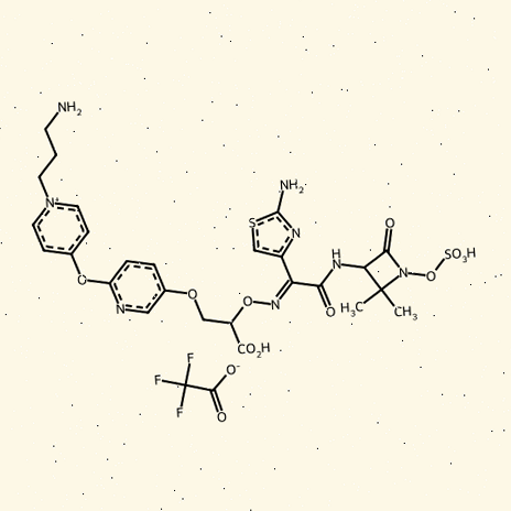 CC1(C)C(NC(=O)C(=NOC(COc2ccc(Oc3cc[n+](CCCN)cc3)nc2)C(=O)O)c2csc(N)n2)C(=O)N1OS(=O)(=O)O.O=C([O-])C(F)(F)F